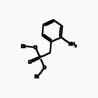 CCOP(=O)(Cc1ccccc1N)OCC